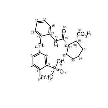 CC(C)c1ccccc1P(=O)(O)O.CCc1ccccc1NC(=O)[C@H]1CCCC[C@H]1C(=O)O